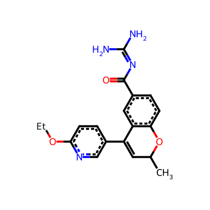 CCOc1ccc(C2=CC(C)Oc3ccc(C(=O)N=C(N)N)cc32)cn1